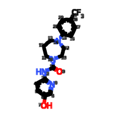 O=C(Nc1ccc(O)cn1)N1CCCN(c2ccc(C(F)(F)F)cc2)CC1